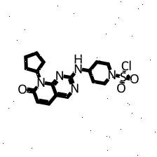 O=c1ccc2cnc(NC3CCN(S(=O)(=O)Cl)CC3)nc2n1C1CCCC1